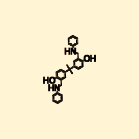 CC(C)(c1ccc(O)c(CNc2ccccc2)c1)c1ccc(O)c(CNc2ccccc2)c1